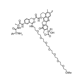 CC[C@@]1(O)C(=O)OCc2c1cc1n(c2=O)Cc2c-1nc1cc(F)c(C)c3c1c2[C@@H](NC(=O)OCc1ccc(NC(=O)[C@H](C)NC(=O)[C@@H](N)C(C)C)cc1C(=O)NCCOCCOCCOCCOCCOCCOCCOCCOC)CC3